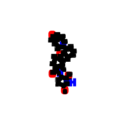 O=C1CCC(N2Cc3cc(O[C@@H]4CCCC[C@@H]4N4CCC5(CC4)COC5)ccc3C2=O)C(=O)N1